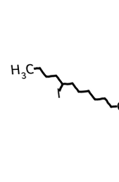 CCCCC(I)CCCCCCCl